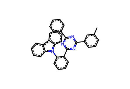 Cc1cccc(-c2nc(-c3ccccc3)nc(-c3ccccc3-n3c4ccccc4c4ccccc43)n2)c1